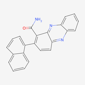 NC(=O)c1c(-c2cccc3ccccc23)ccc2nc3ccccc3nc12